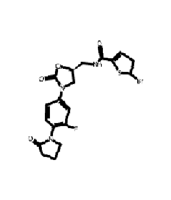 O=C(NC[C@H]1CN(c2ccc(N3CCCC3=O)c(F)c2)C(=O)O1)C1=CCC(Br)S1